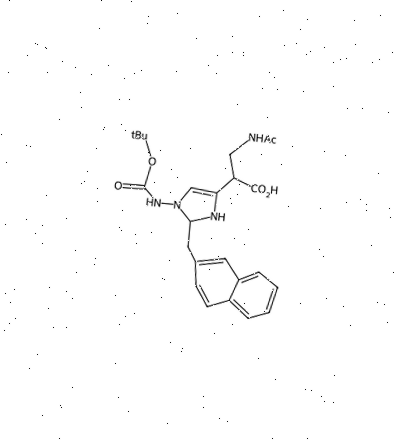 CC(=O)NCC(C(=O)O)C1=CN(NC(=O)OC(C)(C)C)C(Cc2ccc3ccccc3c2)N1